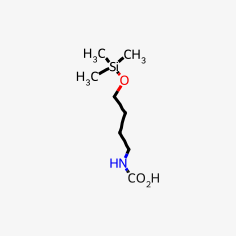 C[Si](C)(C)OCCCCNC(=O)O